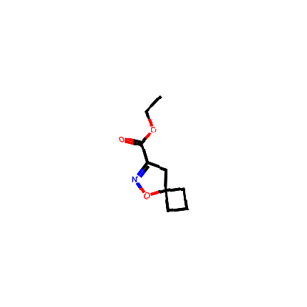 CCOC(=O)C1=NOC2(CCC2)C1